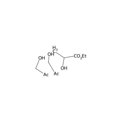 CC(=O)CO.CC(=O)CO.CCOC(=O)C(C)O